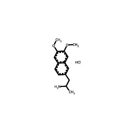 COc1cc2ccc(CC(C)N)cc2cc1OC.Cl